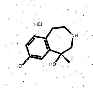 C[C@]1(O)CNCCc2ccc(Cl)cc21.Cl